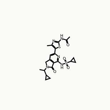 CC(=O)Nc1nc(C)c(-c2cc3c(c(NS(=O)(=O)C4CC4)n2)C(=O)N(C(C)C2CC2)C3)s1